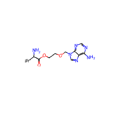 CC(C)C(N)C(=O)OCCOCn1cnc2c(N)ncnc21